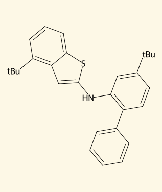 CC(C)(C)c1ccc(-c2ccccc2)c(Nc2cc3c(C(C)(C)C)cccc3s2)c1